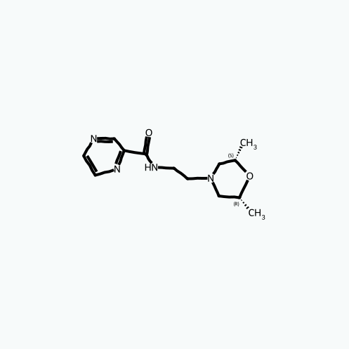 C[C@@H]1CN(CCNC(=O)c2cnccn2)C[C@H](C)O1